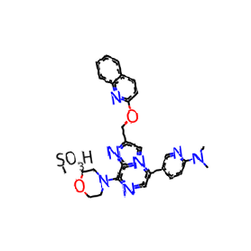 CN(C)c1ccc(-c2cnc(N3CCOCC3)c3nc(COc4ccc5ccccc5n4)cn23)cn1.CS(=O)(=O)O